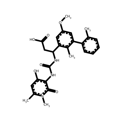 COc1cc(-c2ccccc2C)c(C)c(C(CC(=O)O)NC(=O)Nc2c(O)cc(C)n(C)c2=O)c1